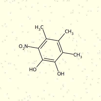 Cc1c(C)c(O)c(O)c([N+](=O)[O-])c1C